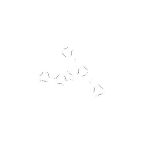 c1ccc(COc2ccc(OCc3ccccc3)c(-c3nc4cc(-c5cccnc5)cnc4[nH]3)c2)cc1